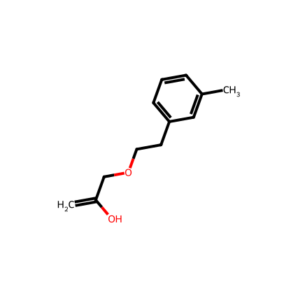 C=C(O)COCCc1cccc(C)c1